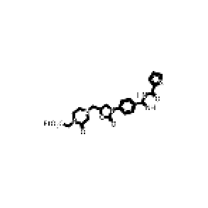 CCOC(=O)CN1CCN(CC2CN(c3ccc(C(=N)NC(=O)c4cccs4)cc3)C(=O)O2)CC1=O